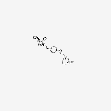 CC(C)(C)OC(=O)NCCc1ccc(OCCN2CCC[C@H](F)C2)cc1